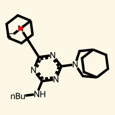 CCCCNc1nc(N2CC3CCC(CC3)C2)nc(N2CC3CCC(CC3)C2)n1